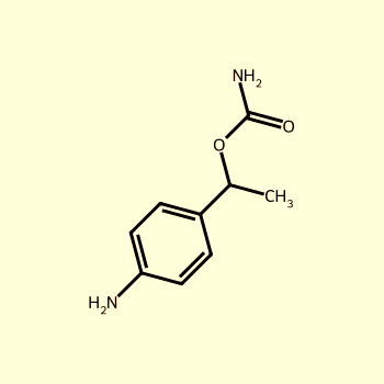 CC(OC(N)=O)c1ccc(N)cc1